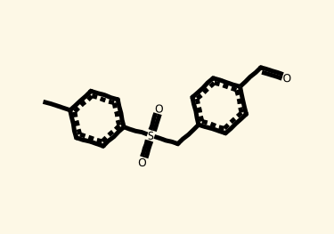 Cc1ccc(S(=O)(=O)Cc2ccc(C=O)cc2)cc1